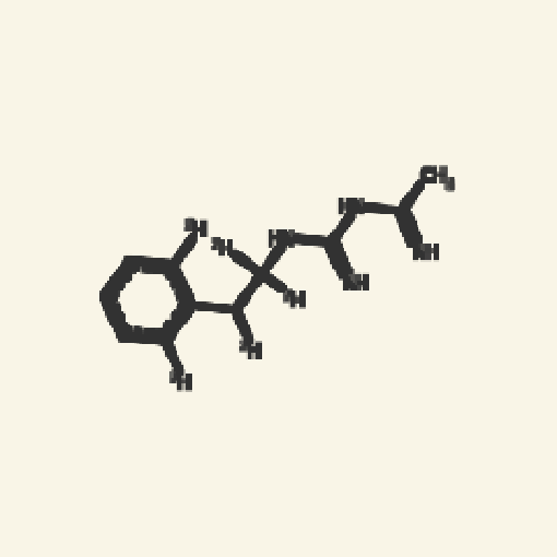 [2H]c1cccc([2H])c1C([2H])C([2H])([2H])NC(=N)NC(C)=N